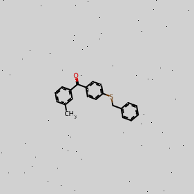 Cc1cccc(C(=O)c2ccc(SCc3ccccc3)cc2)c1